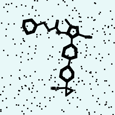 COc1nn(C)c(NC(=O)OCc2ccccc2)c1-c1ccc(-c2ccc(C3(C(=O)O)CC3)cc2)cc1